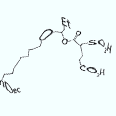 CCCCCCCCCCCCCCCCOC(CC)OC(=O)C(CC(=O)O)S(=O)(=O)O